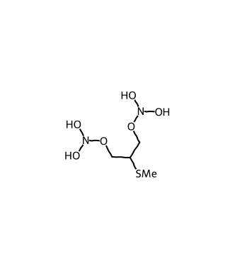 CSC(CON(O)O)CON(O)O